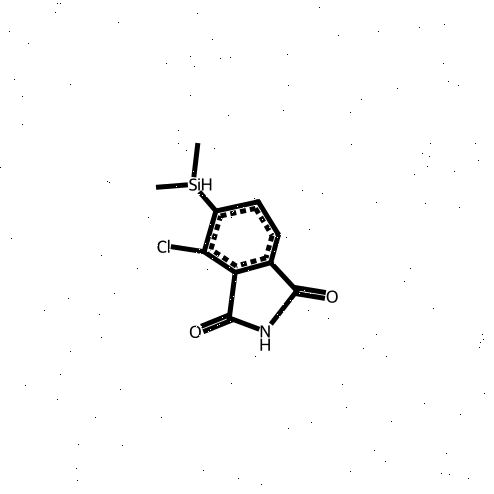 C[SiH](C)c1ccc2c(c1Cl)C(=O)NC2=O